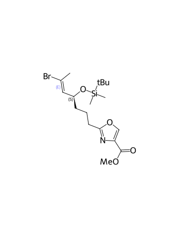 COC(=O)c1coc(CCC[C@@H](/C=C(\C)Br)O[Si](C)(C)C(C)(C)C)n1